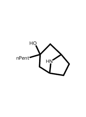 CCCCCC1(O)CC2CCC(C1)N2